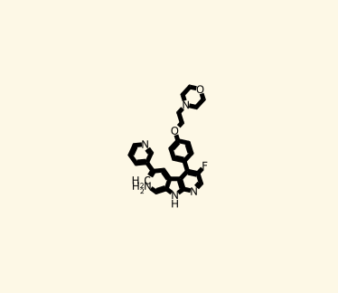 C=C(/C=c1\c(=C/N)[nH]c2ncc(F)c(-c3ccc(OCCN4CCOCC4)cc3)c12)c1cccnc1